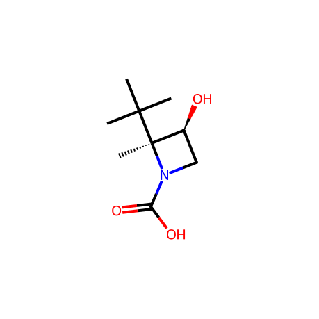 CC(C)(C)[C@@]1(C)[C@@H](O)CN1C(=O)O